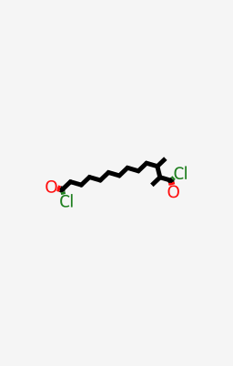 CC(CCCCCCCCCC(=O)Cl)C(C)C(=O)Cl